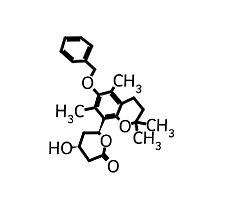 Cc1c2c(c([C@@H]3C[C@@H](O)CC(=O)O3)c(C)c1OCc1ccccc1)OC(C)(C)CC2